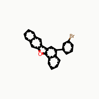 Brc1cccc(-c2cc3c4cc5ccccc5cc4oc3c3ccccc23)c1